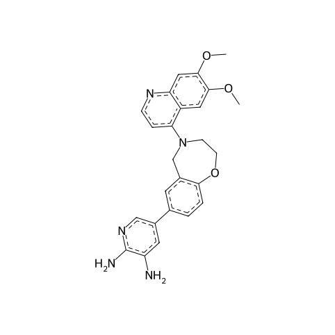 COc1cc2nccc(N3CCOc4ccc(-c5cnc(N)c(N)c5)cc4C3)c2cc1OC